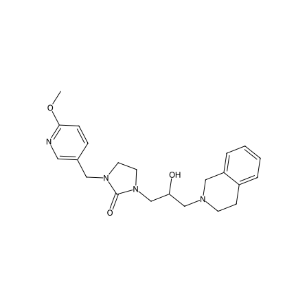 COc1ccc(CN2CCN(CC(O)CN3CCc4ccccc4C3)C2=O)cn1